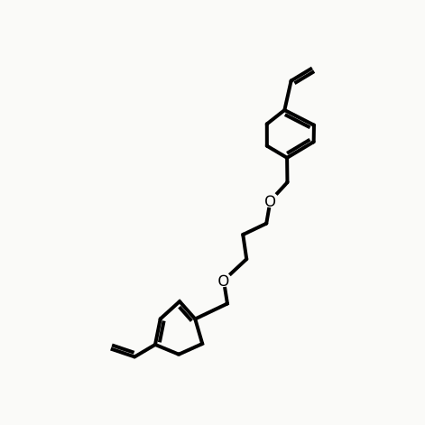 C=CC1=CC=C(COCCCOCC2=CC=C(C=C)CC2)CC1